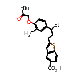 CCC(CCc1cc2cc(C(=O)O)ccc2s1)c1ccc(OCC(=O)C(C)(C)C)c(C)c1